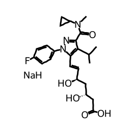 CC(C)c1c(C(=O)N(C)C2CC2)nn(-c2ccc(F)cc2)c1C=C[C@H](O)C[C@@H](O)CC(=O)O.[NaH]